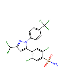 NS(=O)(=O)c1cc(F)c(-c2cc(C(F)F)nn2-c2ccc(C(F)(F)F)cc2)cc1F